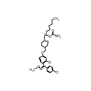 CCCCCC[C@H](CN1CCC(COc2ccc(/C(=N\OC)c3ccc(Cl)cc3)c(Cl)c2)CC1)OC(N)=O